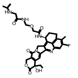 CC[C@@]1(O)C(=O)OCc2c1cc1n(c2=O)Cc2c-1nc1cc(F)c(C)c3c1c2[C@@H](NC(=O)COCNC(=O)CNC(C)C)CC3